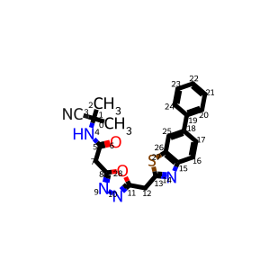 CC(C)(C#N)NC(=O)Cc1nnc(Cc2nc3ccc(-c4ccccc4)cc3s2)o1